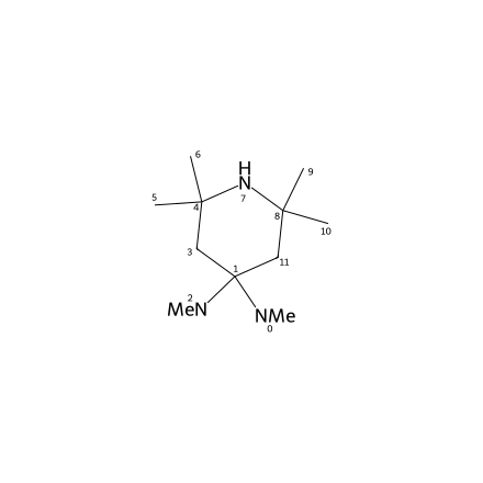 CNC1(NC)CC(C)(C)NC(C)(C)C1